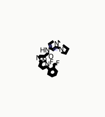 C=N/C(=C\C(=C/C)NC(=O)c1cnc2ccc(-c3ccccc3C(F)F)nn12)N1CCCC1